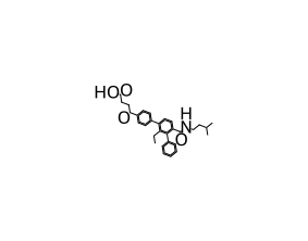 CCc1c(-c2ccc(C(=O)CCC(=O)O)cc2)ccc(C(=O)NCCC(C)C)c1-c1ccccc1